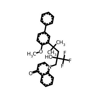 COc1ccc(-c2ccccc2)cc1C(C)(C)CC(O)(Cn1ccc(=O)c2ccccc21)C(F)(F)F